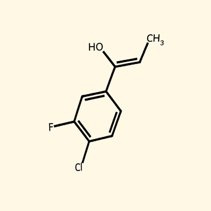 CC=C(O)c1ccc(Cl)c(F)c1